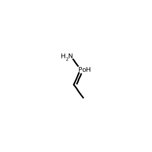 C[CH]=[PoH][NH2]